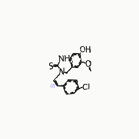 COc1cc(CN(/C=C\c2ccc(Cl)cc2)C(N)=S)ccc1O